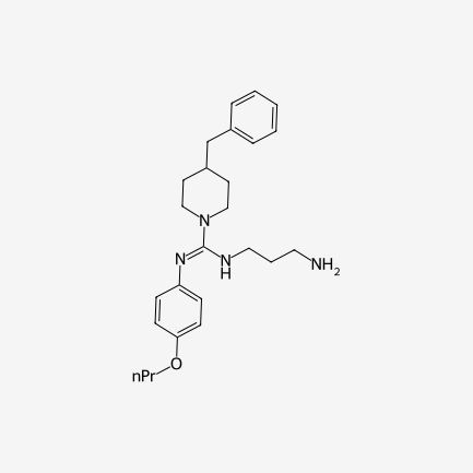 CCCOc1ccc(/N=C(\NCCCN)N2CCC(Cc3ccccc3)CC2)cc1